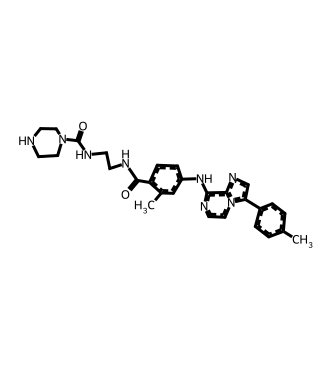 Cc1ccc(-c2cnc3c(Nc4ccc(C(=O)NCCNC(=O)N5CCNCC5)c(C)c4)nccn23)cc1